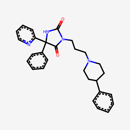 O=C1NC(c2ccccc2)(c2ccccn2)C(=O)N1CCCN1CCC(c2ccccc2)CC1